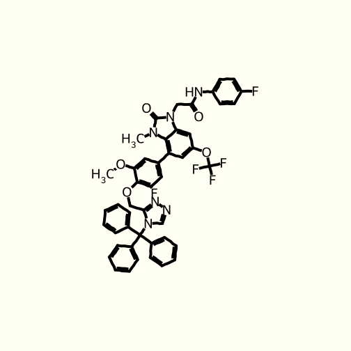 COc1cc(-c2cc(OC(F)(F)F)cc3c2n(C)c(=O)n3CC(=O)Nc2ccc(F)cc2)cc(F)c1OCc1nncn1C(c1ccccc1)(c1ccccc1)c1ccccc1